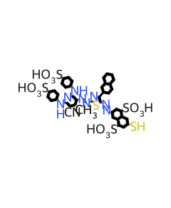 Cc1c(C#N)c(Nc2ccc(S(=O)(=O)O)cc2)nc(Nc2ccc(S(=O)(=O)O)cc2)c1N=Nc1nc(-c2ccc3ccccc3c2)c(N=Nc2cc(S(=O)(=O)O)c3cc(S)cc(S(=O)(=O)O)c3c2)s1